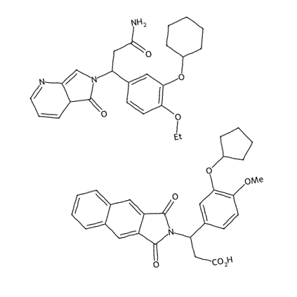 CCOc1ccc(C(CC(N)=O)N2C=C3N=CC=CC3C2=O)cc1OC1CCCCC1.COc1ccc(C(CC(=O)O)N2C(=O)c3cc4ccccc4cc3C2=O)cc1OC1CCCC1